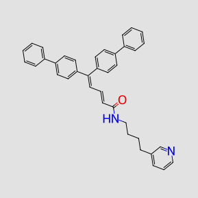 O=C(C=CC=C(c1ccc(-c2ccccc2)cc1)c1ccc(-c2ccccc2)cc1)NCCCCc1cccnc1